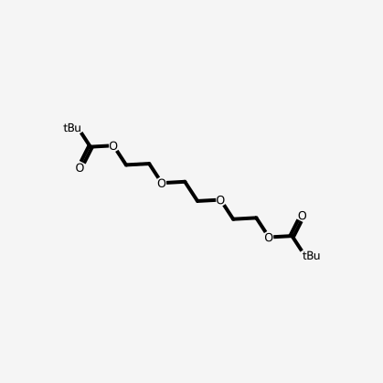 CC(C)(C)C(=O)OCCOCCOCCOC(=O)C(C)(C)C